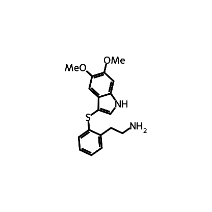 COc1cc2[nH]cc(Sc3ccccc3CCN)c2cc1OC